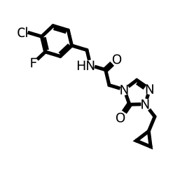 O=C(Cn1cnn(CC2CC2)c1=O)NCc1ccc(Cl)c(F)c1